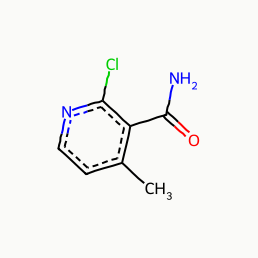 Cc1ccnc(Cl)c1C(N)=O